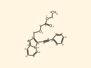 CCOC(=O)COCc1nc2ccccn2c1C#Cc1ccccc1